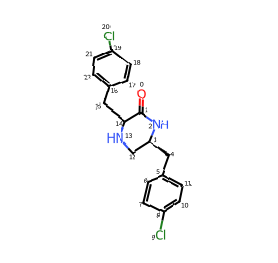 O=C1N[C@@H](Cc2ccc(Cl)cc2)CNC1Cc1ccc(Cl)cc1